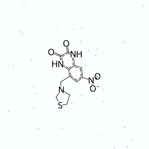 O=c1[nH]c2cc([N+](=O)[O-])cc(CN3CCSC3)c2[nH]c1=O